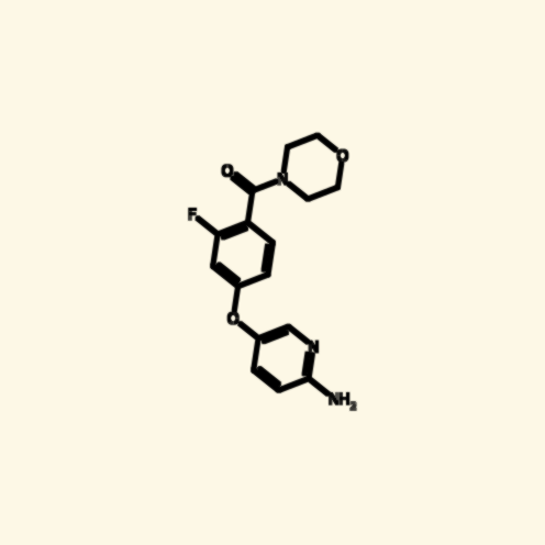 Nc1ccc(Oc2ccc(C(=O)N3CCOCC3)c(F)c2)cn1